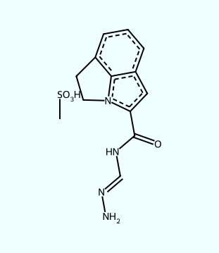 CS(=O)(=O)O.NN=CNC(=O)c1cc2cccc3c2n1CC3